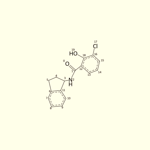 O=C(NC1CCc2ccccc21)c1cccc(Cl)c1O